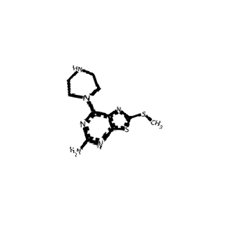 CSc1nc2c(N3CCNCC3)nc(N)nc2s1